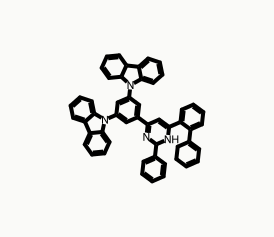 C1=CCCC(c2ccccc2C2=CC(c3cc(N4c5ccccc5C5C=CC=CC54)cc(-n4c5ccccc5c5ccccc54)c3)=NC(c3ccccc3)N2)=C1